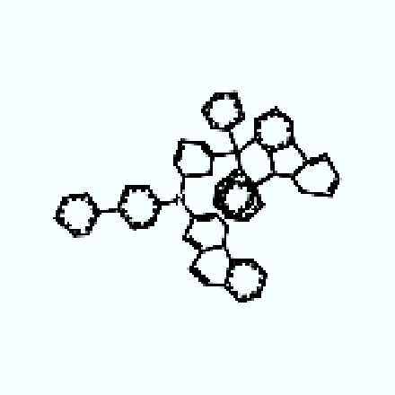 C1=CCC2C(=C1)c1cccc3c1C2(c1ccccc1)c1ccccc1C3(C1=CC=CC(N(C2=CCC3C(=C2)C=Cc2ccccc23)c2ccc(-c3ccccc3)cc2)C1)c1ccccc1